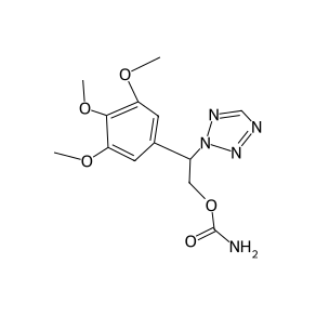 COc1cc(C(COC(N)=O)n2ncnn2)cc(OC)c1OC